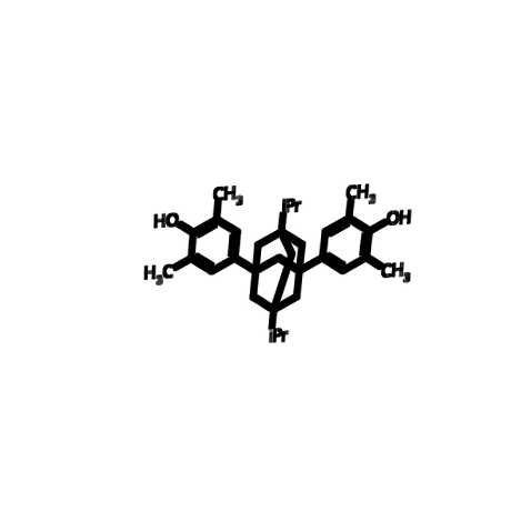 Cc1cc(C23CC4(c5cc(C)c(O)c(C)c5)CC(C(C)C)(C2)CC(C(C)C)(C3)C4)cc(C)c1O